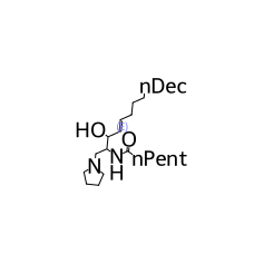 CCCCCCCCCCCCC/C=C/C(O)C(CN1CCCC1)NC(=O)CCCCC